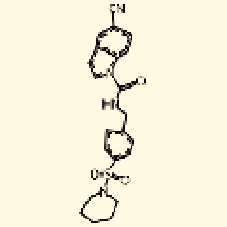 N#Cc1ccc2c(ccn2C(=O)NCc2ccc(S(=O)(=O)N3CCCCC3)cc2)c1